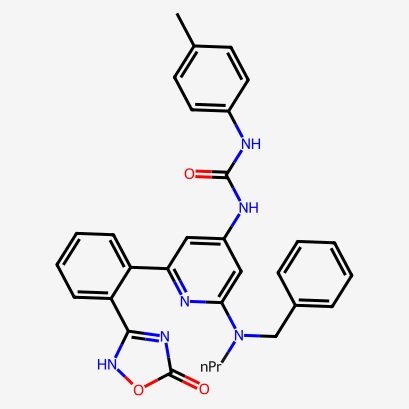 CCCN(Cc1ccccc1)c1cc(NC(=O)Nc2ccc(C)cc2)cc(-c2ccccc2-c2nc(=O)o[nH]2)n1